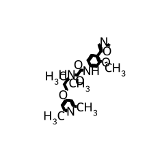 COc1cc(NC(=O)C(=O)NC(C)(C)CCOc2cc(C)nc(C)c2)ccc1-c1cnco1